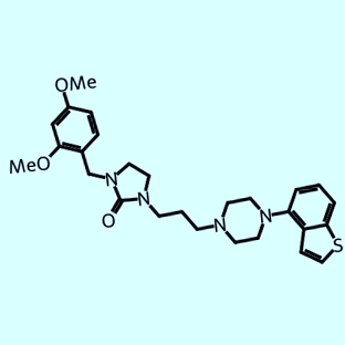 COc1ccc(CN2CCN(CCCN3CCN(c4cccc5sccc45)CC3)C2=O)c(OC)c1